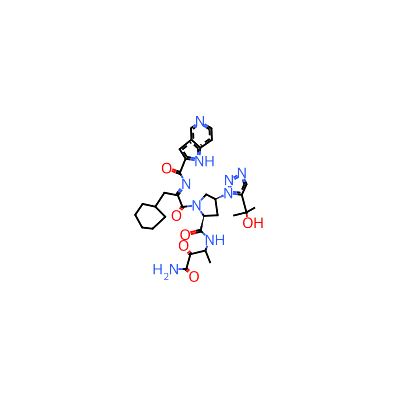 CC(NC(=O)[C@@H]1C[C@H](n2nncc2C(C)(C)O)CN1C(=O)/C(CC1CCCCC1)=N/C(=O)c1cc2cnccc2[nH]1)C(=O)C(N)=O